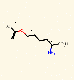 C=C(OCCCCC(N)C(=O)O)C(C)=O